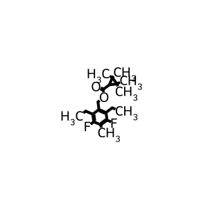 CCc1c(F)c(C)c(F)c(CC)c1COC(=O)C1C(C)(C)C1(C)C